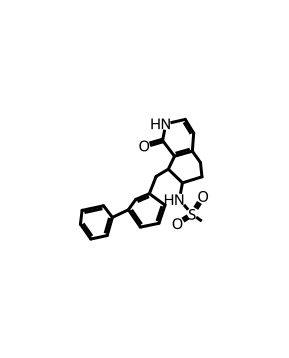 CS(=O)(=O)NC1CCc2cc[nH]c(=O)c2C1Cc1cccc(-c2ccccc2)c1